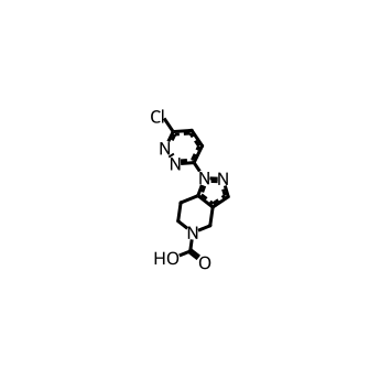 O=C(O)N1CCc2c(cnn2-c2ccc(Cl)nn2)C1